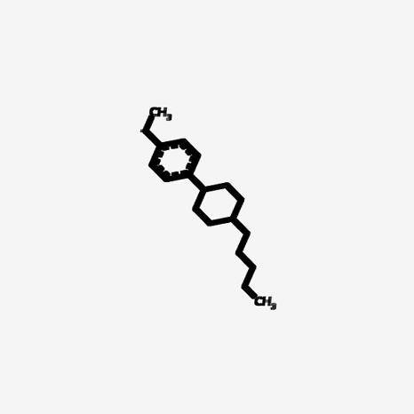 C[CH]c1ccc(C2CCC(CCCCC)CC2)cc1